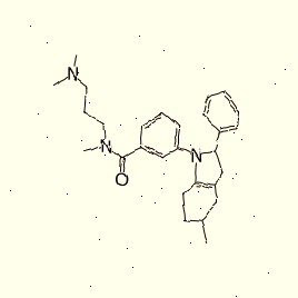 CC1CCC2=C(C1)CC(c1ccccc1)N2c1cccc(C(=O)N(C)CCCN(C)C)c1